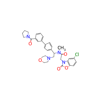 CN(C(=O)Cn1c(=O)oc2ccc(Cl)cc21)C(CN1CCOCC1)c1ccc(-c2cccc(C(=O)N3CCCC3)c2)cc1